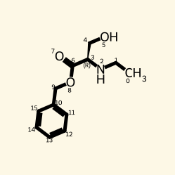 CCN[C@H](CO)C(=O)OCc1ccccc1